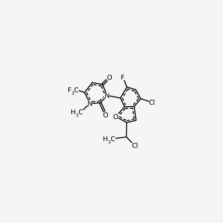 CC(Cl)c1cc2c(Cl)cc(F)c(-n3c(=O)cc(C(F)(F)F)n(C)c3=O)c2o1